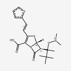 C[SiH](C)OC(C)([C@H]1C(=O)N2C(C(=O)O)=C(/C=C/c3cccs3)S[C@H]12)C(C)(C)C